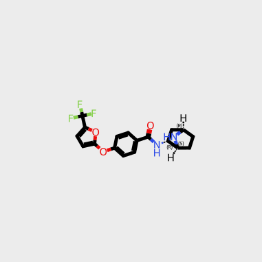 O=C(N[C@@H]1C[C@H]2CC[C@@H]1N2)c1ccc(Oc2ccc(C(F)(F)F)o2)cc1